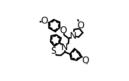 COc1ccc(OCC(CN2c3ccccc3SCCC2c2ccc(OC)cc2)N2CCC(OC)C2)cc1